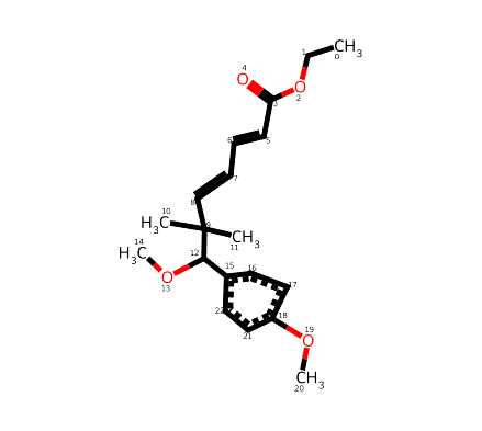 CCOC(=O)C=CC=CC(C)(C)C(OC)c1ccc(OC)cc1